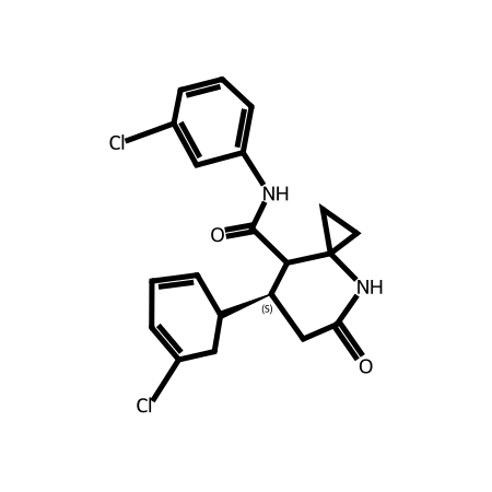 O=C1C[C@@H](C2C=CC=C(Cl)C2)C(C(=O)Nc2cccc(Cl)c2)C2(CC2)N1